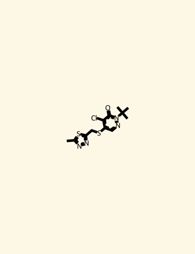 Cc1nnc(CSc2cnn(C(C)(C)C)c(=O)c2Cl)s1